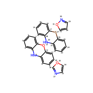 c1ccc2c(c1)Nc1ccccc1O2.c1ccc2c(c1)Nc1ccccc1S2.c1cnoc1.c1cocn1